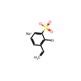 C=Cc1cccc(S(=O)(=O)[O-])c1CC.[Na+]